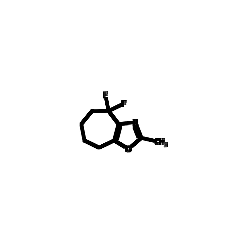 Cc1nc2c(o1)CCCCC2(F)F